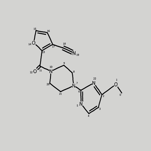 COc1ccnc(N2CCN(C(=O)c3occc3C#N)CC2)n1